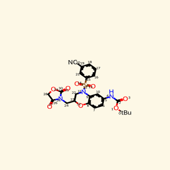 CC(C)(C)OC(=O)Nc1ccc2c(c1)N(S(=O)(=O)c1cccc(C#N)c1)CC(CN1C(=O)COC1=O)O2